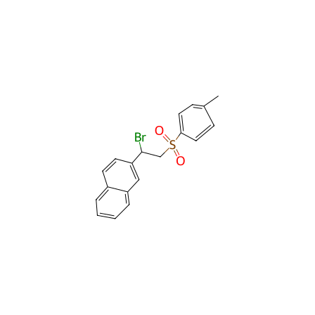 Cc1ccc(S(=O)(=O)CC(Br)c2ccc3ccccc3c2)cc1